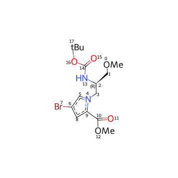 COC[C@@H](Cn1cc(Br)cc1C(=O)OC)NC(=O)OC(C)(C)C